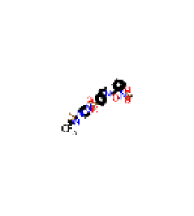 CN(c1ccccc1C(=O)N1CCc2cc(S(=O)(=O)N3CCN(c4nc(C(F)(F)F)cs4)CC3)ccc21)S(C)(=O)=O